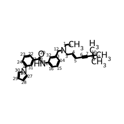 CCN(CC=CC#CC(C)(C)C)Cc1cccc(NC(=O)c2cccc(-n3cccc3)c2)c1